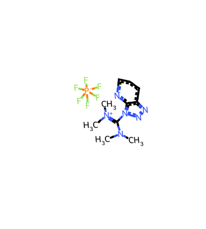 CN(C)C(n1nnc2cccnc21)=[N+](C)C.F[P-](F)(F)(F)(F)F